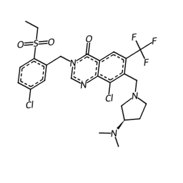 CCS(=O)(=O)c1ccc(Cl)cc1Cn1cnc2c(Cl)c(CN3CC[C@@H](N(C)C)C3)c(C(F)(F)F)cc2c1=O